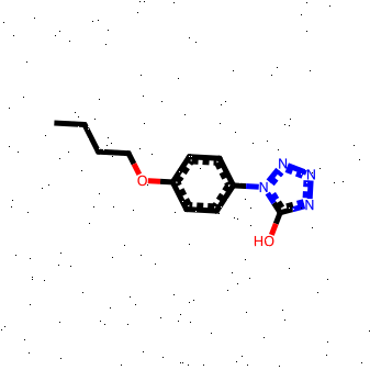 CCCCOc1ccc(-n2nnnc2O)cc1